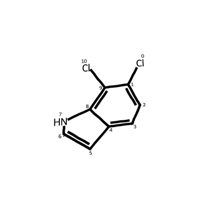 Clc1ccc2c[c][nH]c2c1Cl